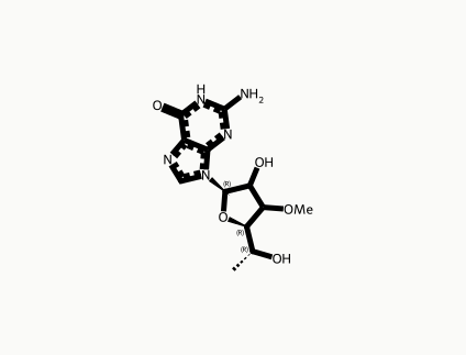 COC1C(O)[C@H](n2cnc3c(=O)[nH]c(N)nc32)O[C@@H]1[C@@H](C)O